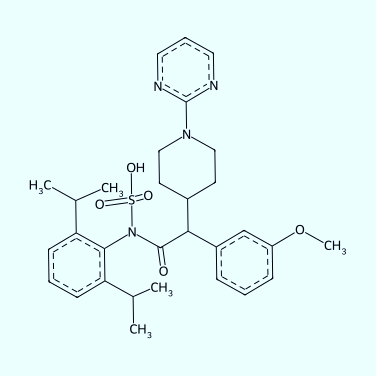 COc1cccc(C(C(=O)N(c2c(C(C)C)cccc2C(C)C)S(=O)(=O)O)C2CCN(c3ncccn3)CC2)c1